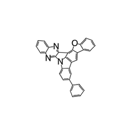 c1ccc(-c2ccc3c(c2)c2cc4c5ccccc5oc4c4c5nc6ccccc6nc5n3c24)cc1